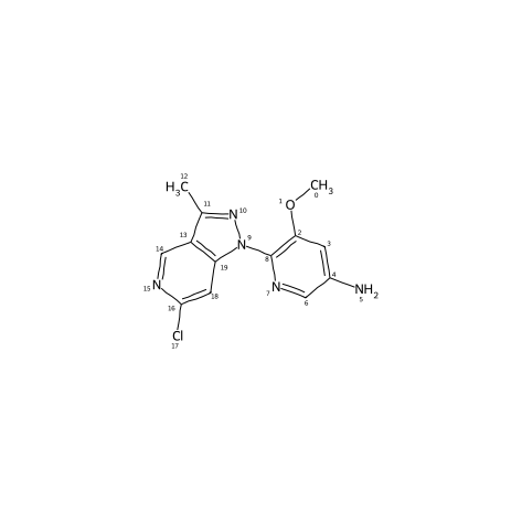 COc1cc(N)cnc1-n1nc(C)c2cnc(Cl)cc21